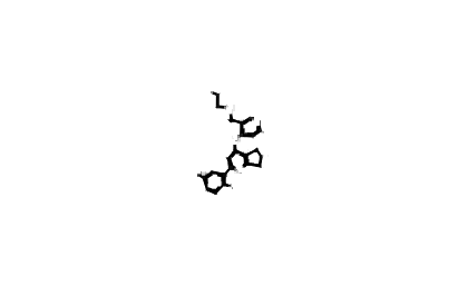 O=C(NCCO)c1cnccc1Nc1cc(-c2cc(Cl)ccc2F)nc2c1CCC2